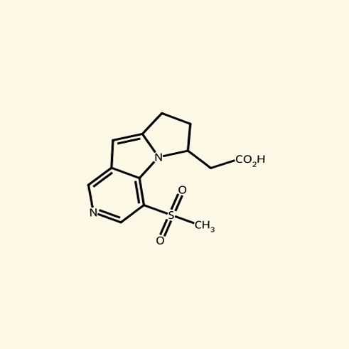 CS(=O)(=O)c1cncc2cc3n(c12)C(CC(=O)O)CC3